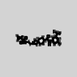 CC1(S(=O)(=O)NCCN2CC3(CCC(C(=O)Nc4cc(F)cc(C(F)F)c4)CC3)C2)CC1